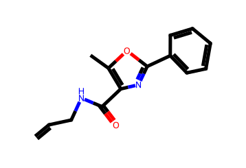 C=CCNC(=O)c1nc(-c2ccccc2)oc1C